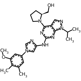 COc1cc(-n2cnc(Nc3nc(N4CCC[C@H]4CO)c4cnn(C(C)C)c4n3)c2)cc(C)c1C